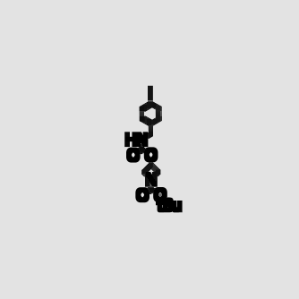 CC(C)(C)OC(=O)N1CC(OC(=O)NCc2ccc(I)cc2)C1